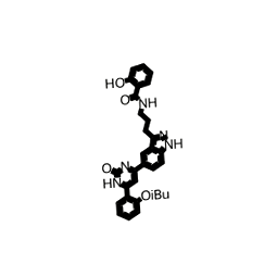 CC(C)COc1ccccc1-c1cc(-c2ccc3[nH]nc(CCCNC(=O)c4ccccc4O)c3c2)nc(=O)[nH]1